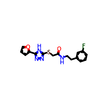 O=C(CSc1nnc(-c2ccco2)[nH]1)NCCc1cccc(F)c1